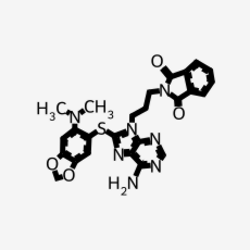 CN(C)c1cc2c(cc1Sc1nc3c(N)ncnc3n1CCCN1C(=O)c3ccccc3C1=O)OCO2